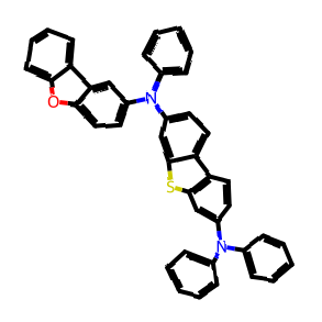 c1ccc(N(c2ccccc2)c2ccc3c(c2)sc2cc(N(c4ccccc4)c4ccc5oc6ccccc6c5c4)ccc23)cc1